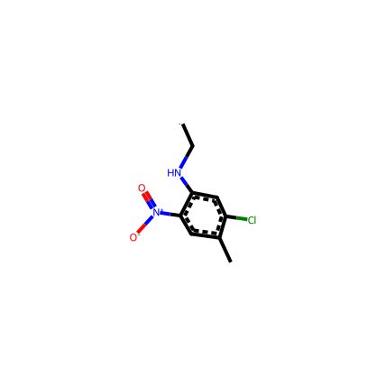 [CH2]CNc1cc(Cl)c(C)cc1[N+](=O)[O-]